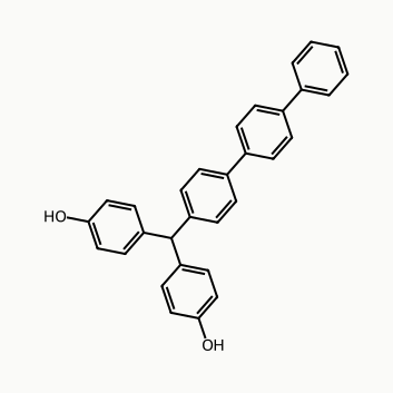 Oc1ccc(C(c2ccc(O)cc2)c2ccc(-c3ccc(-c4ccccc4)cc3)cc2)cc1